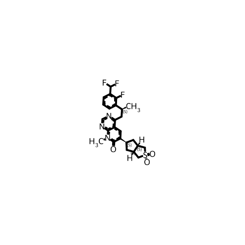 C[C@@H](Cc1ncnc2c1cc([C@H]1C[C@@H]3CS(=O)(=O)C[C@@H]3C1)c(=O)n2C)c1cccc(C(F)F)c1F